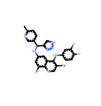 Cc1ccc([C@H](Nc2cc(Cl)c3ncc(C#N)c(Nc4ccc(F)c(Cl)c4)c3c2)c2c[nH]nn2)cn1